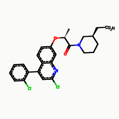 C[C@@H](Oc1ccc2c(-c3ccccc3Cl)cc(Cl)nc2c1)C(=O)N1CCC[C@H](CC(=O)O)C1